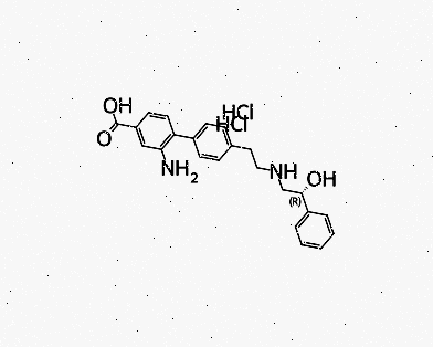 Cl.Cl.Nc1cc(C(=O)O)ccc1-c1ccc(CCNC[C@H](O)c2ccccc2)cc1